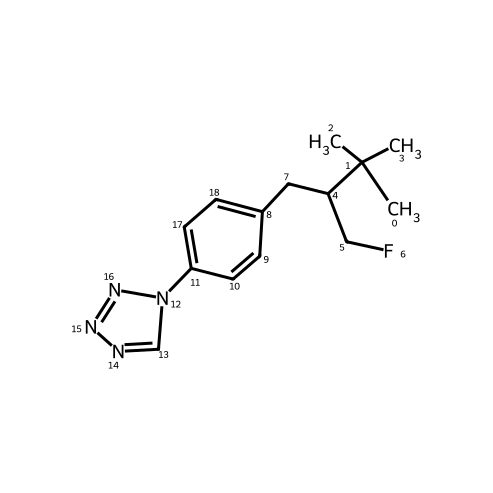 CC(C)(C)C(CF)Cc1ccc(-n2cnnn2)cc1